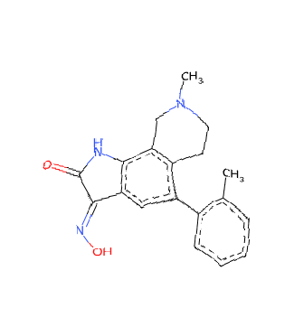 Cc1ccccc1-c1cc2c(c3c1CCN(C)C3)NC(=O)/C2=N/O